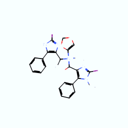 CCCCC(c1nc(I)[nH]c1-c1ccccc1)[N+](C)(C1=COCO1)C(O)c1nc(I)n(CCCC)c1-c1ccccc1